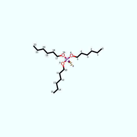 CCCCCCOP(=S)(OCCCCCC)OCCCCCC